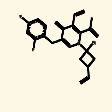 C=CC1=C(C(=C)C)N(C2(CC)CC(C=C)C2)C=C(Cc2ccc(F)cc2F)C1=C